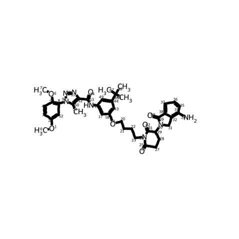 COc1ccc(OC)c(-n2nnc(C(=O)Nc3cc(OCCCCN4C(=O)CCC(N5Cc6c(N)cccc6C5=O)C4=O)cc(C(C)(C)C)c3)c2C)c1